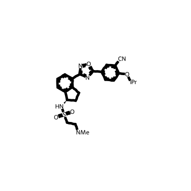 CNCCS(=O)(=O)N[C@H]1CCc2c(-c3noc(-c4ccc(OC(C)C)c(C#N)c4)n3)cccc21